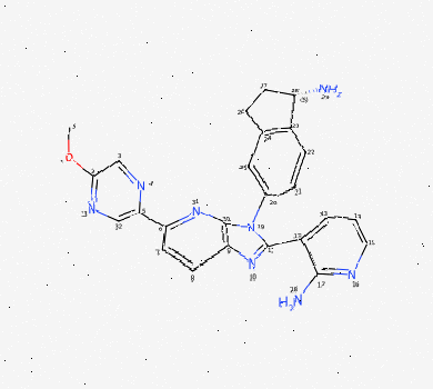 COc1cnc(-c2ccc3nc(-c4cccnc4N)n(-c4ccc5c(c4)CC[C@@H]5N)c3n2)cn1